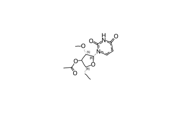 CC[C@H]1O[C@@H](n2ccc(=O)[nH]c2=O)[C@@H](OC)C1OC(C)=O